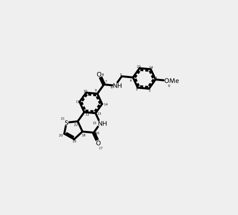 COc1ccc(CNC(=O)c2ccc3c(c2)NC(=O)C2C=CSC32)cc1